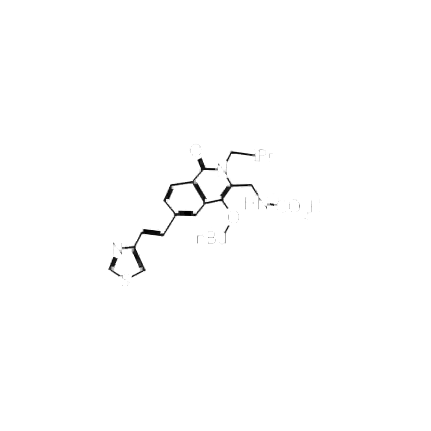 CCCCOc1c(CNC(=O)O)n(CC(C)C)c(=O)c2ccc(/C=C/c3cscn3)cc12